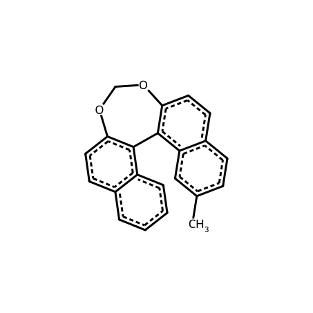 Cc1ccc2ccc3c(c2c1)-c1c(ccc2ccccc12)OCO3